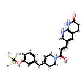 O=C1CCc2cc(/C=C/C(=O)N3CC=C(Cc4cccc(OC(F)(F)F)c4)CC3)cnc2N1